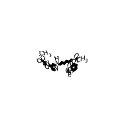 CCOC(=O)c1coc(-c2ccnc(NCCCCC(COC(C)=O)Oc3ccccc3[N+](=O)[O-])c2)n1